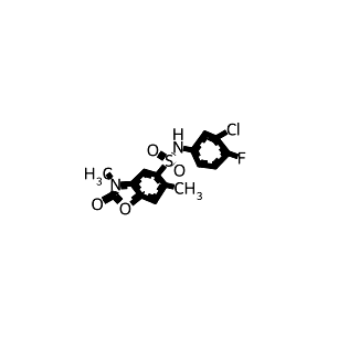 Cc1cc2oc(=O)n(C)c2cc1S(=O)(=O)Nc1ccc(F)c(Cl)c1